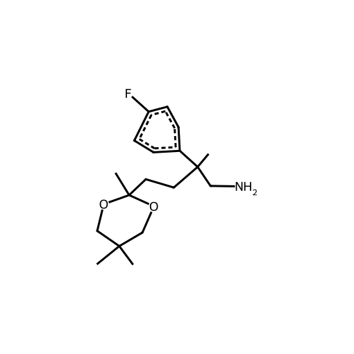 CC1(C)COC(C)(CCC(C)(CN)c2ccc(F)cc2)OC1